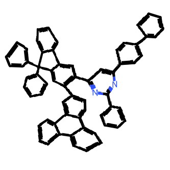 c1ccc(-c2ccc(-c3cc(-c4cc5c(cc4-c4ccc6c7ccccc7c7ccccc7c6c4)C(c4ccccc4)(c4ccccc4)c4ccccc4-5)nc(-c4ccccc4)n3)cc2)cc1